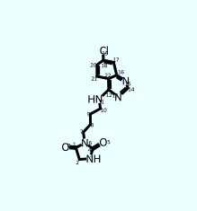 O=C1CNC(=O)N1CCCCNc1ncnc2cc(Cl)ccc12